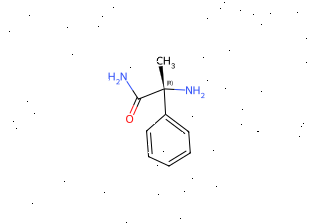 C[C@](N)(C(N)=O)c1ccccc1